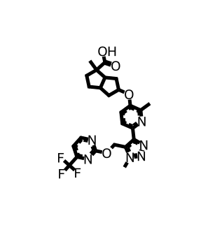 Cc1nc(-c2nnn(C)c2COc2nccc(C(F)(F)F)n2)ccc1OC1CC2CCC(C)(C(=O)O)C2C1